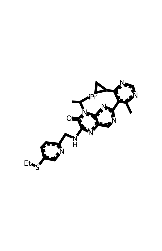 CCSc1ccc(CNc2nc3cnc(-c4c(C)ncnc4C4CC4)nc3n(C(C)C(C)C)c2=O)nc1